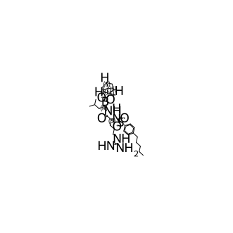 CCCCCc1ccc(S(=O)(=O)N[C@@H](CCCNC(=N)N)C(=O)N[C@@H](CC(C)C)B2O[C@@H]3C[C@@H]4C[C@@H](C4(C)C)[C@]3(C)O2)cc1